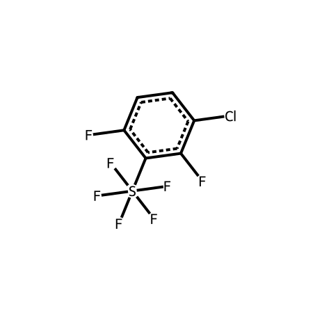 Fc1ccc(Cl)c(F)c1S(F)(F)(F)(F)F